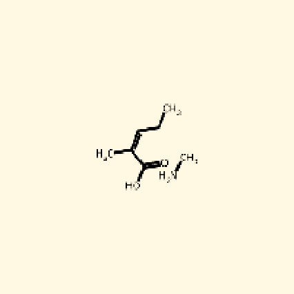 CCC=C(C)C(=O)O.CN